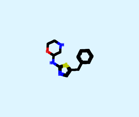 c1ccc(Cc2cnc(NC3CNCCO3)s2)cc1